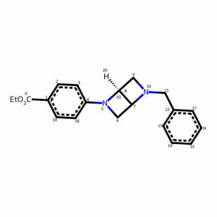 CCOC(=O)c1ccc(N2CC3[C@@H]2CN3Cc2ccccc2)cc1